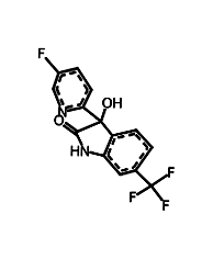 O=C1Nc2cc(C(F)(F)F)ccc2C1(O)c1ccc(F)cn1